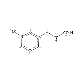 O=C(O)NCc1ccc[n+]([O-])c1